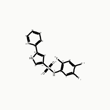 O=S(=O)(Nc1cc(F)c(F)cc1F)c1c[nH]c(-c2ccccn2)c1